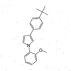 COc1ccccc1-n1ccc(-c2ccc(C(C)(C)C)cc2)c1